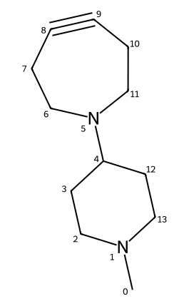 CN1CCC(N2CCC#CCC2)CC1